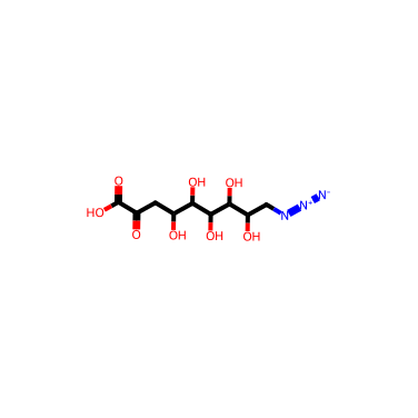 [N-]=[N+]=NCC(O)C(O)C(O)C(O)C(O)CC(=O)C(=O)O